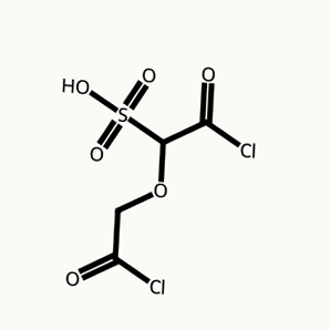 O=C(Cl)COC(C(=O)Cl)S(=O)(=O)O